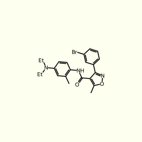 CCN(CC)c1ccc(NC(=O)c2c(-c3cccc(Br)c3)noc2C)c(C)c1